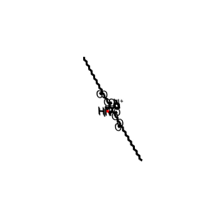 CCCCCCCCCCCCCCCC(=O)OCCOC(=O)C1=C(C)NC(C)=C(C(=O)OCCOC(=O)CCCCCCCCCCCCCCC)C1c1ccc[n+](C)c1.I.[I-]